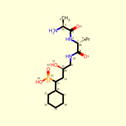 CC(C)[C@@H](NC(=O)[C@H](C)N)C(=O)NC[C@H](O)CC(C1CCCCC1)[PH](=O)O